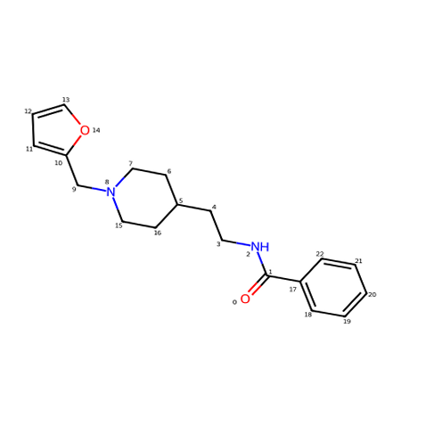 O=C(NCCC1CCN(Cc2ccco2)CC1)c1ccccc1